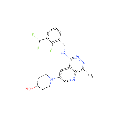 Cc1nnc(NCc2cccc(C(F)F)c2F)c2cc(N3CCC(O)CC3)cnc12